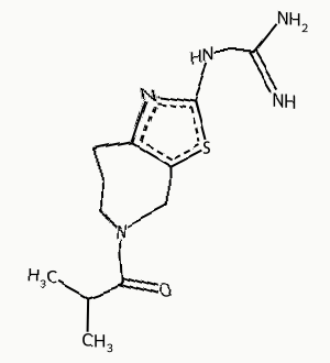 CC(C)C(=O)N1CCc2nc(NC(=N)N)sc2C1